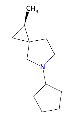 C[C@@H]1CC12CCN(C1CCCC1)C2